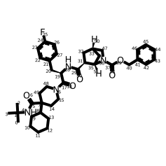 CC(C)(C)NC(=O)C1(C2CCCCC2)CCN(C(=O)[C@@H](Cc2ccc(F)cc2)NC(=O)[C@H]2C[C@H]3C[C@@H]2N(C(=O)OCc2ccccc2)C3)CC1